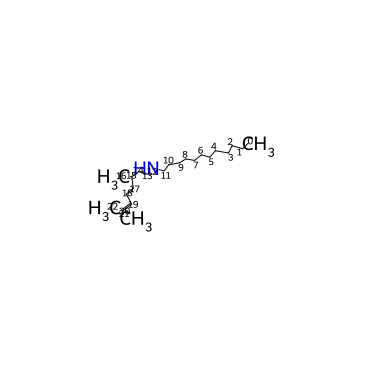 CCCCCCCCCCCCNCCC(C)CCC=C(C)C